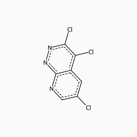 Clc1cnc2nnc(Cl)c(Cl)c2c1